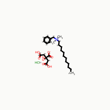 CCCCCCCCCCCC[N+](C)(C)Cc1ccccc1.Cl.O=C(O)CC(O)(CC(=O)O)C(=O)[O-]